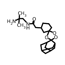 CC(C)(N)CNC(=O)CC1CCCC2(C1)OOC1(O2)C2CC3CC(C2)CC1C3